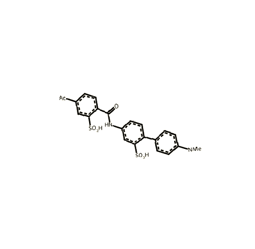 CNc1ccc(-c2ccc(NC(=O)c3ccc(C(C)=O)cc3S(=O)(=O)O)cc2S(=O)(=O)O)cc1